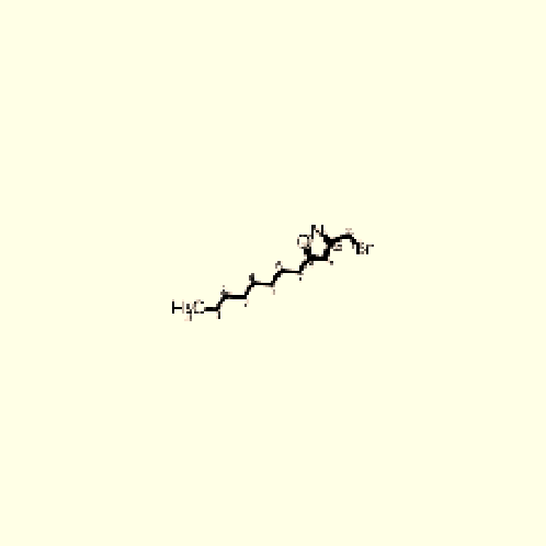 CCCCCCCCc1cc(CBr)no1